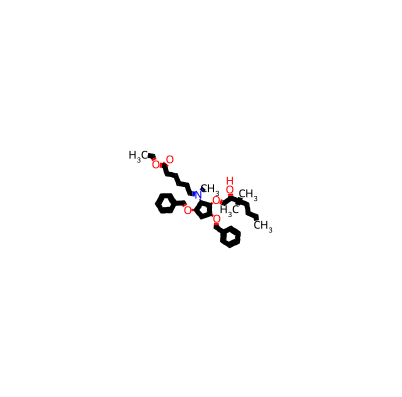 CCCCC(C)(C)C(O)CO[C@@H]1[C@@H](N(C)CCCCCC(=O)OCC)[C@H](OCc2ccccc2)C[C@@H]1OCc1ccccc1